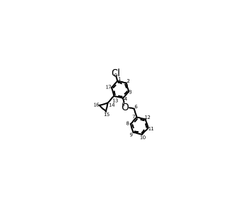 Clc1ccc(OCc2ccccc2)c(C2CC2)c1